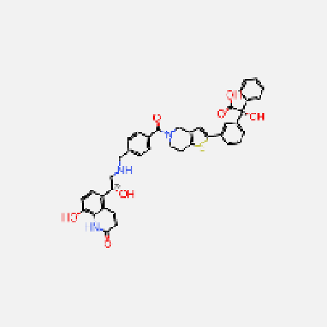 O=C(c1ccc(CNC[C@H](O)c2ccc(O)c3[nH]c(=O)ccc23)cc1)N1CCc2sc(-c3cccc([C@](O)(C(=O)O)c4ccccc4)c3)cc2C1